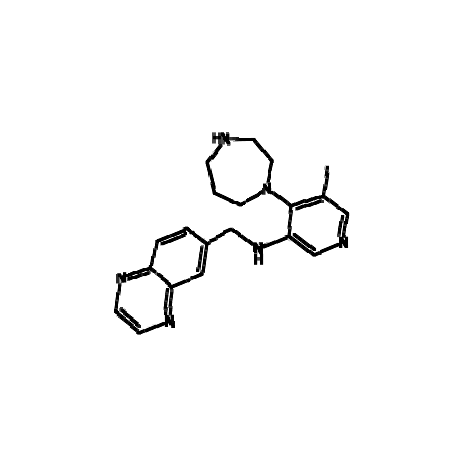 Cc1cncc(NCc2ccc3nccnc3c2)c1N1CCCNCC1